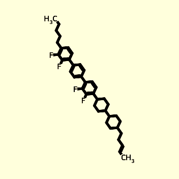 C/C=C/CCC1CCC(C2CCC(c3ccc(-c4ccc(-c5ccc(CCCCC)c(F)c5F)cc4)c(F)c3F)CC2)CC1